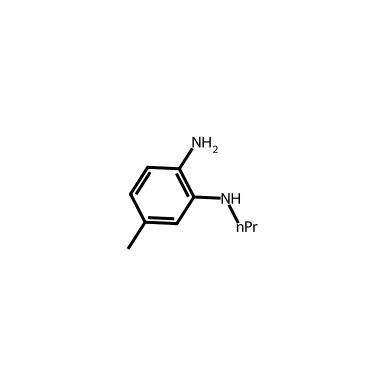 CCCNc1cc(C)ccc1N